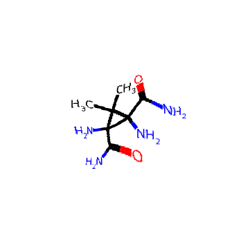 CC1(C)C(N)(C(N)=O)C1(N)C(N)=O